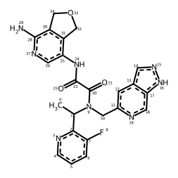 CC(c1ncccc1F)N(Cc1cc2cn[nH]c2cn1)C(=O)C(=O)Nc1cnc(N)c2c1COC2